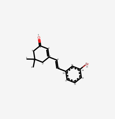 CC1(C)CC(=O)C=C(C=Cc2cccc(Br)c2)C1